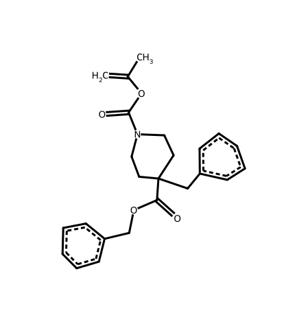 C=C(C)OC(=O)N1CCC(Cc2ccccc2)(C(=O)OCc2ccccc2)CC1